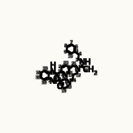 C=C(NCCc1ccccc1)N(CCCN1CCOCC1)Cc1ccc(C(=O)Nc2ccccc2N)nc1